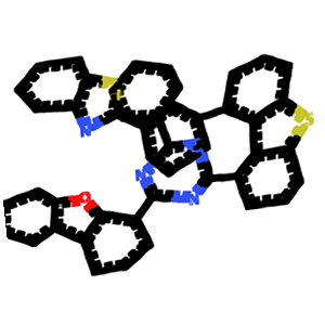 c1ccc(-c2nc(-c3cccc4c3oc3ccccc34)nc(-c3cccc4sc5cccc(-c6cccc(-c7nc8ccccc8s7)c6)c5c34)n2)cc1